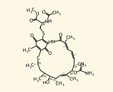 COC(=O)[C@H](CSC1=C2NC(=O)/C(C)=C/C=C\[C@H](C)[C@@H](OC(N)=O)/C(C)=C/[C@H](C)[C@@H](O)[C@@H](C)C[C@H](C)CC(=C(C)C1=O)C2=O)NC(C)=O